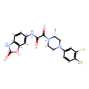 C[C@@H]1CN(c2ccc(Cl)c(F)c2)CCN1C(=O)C(=O)Nc1ccc2[nH]c(=O)oc2c1